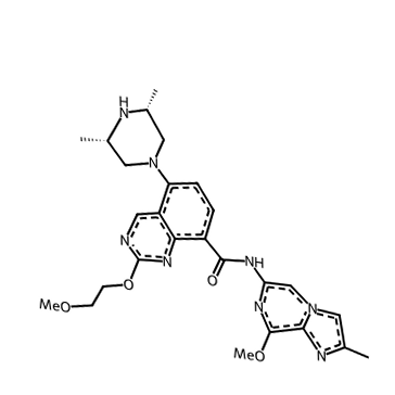 COCCOc1ncc2c(N3C[C@@H](C)N[C@@H](C)C3)ccc(C(=O)Nc3cn4cc(C)nc4c(OC)n3)c2n1